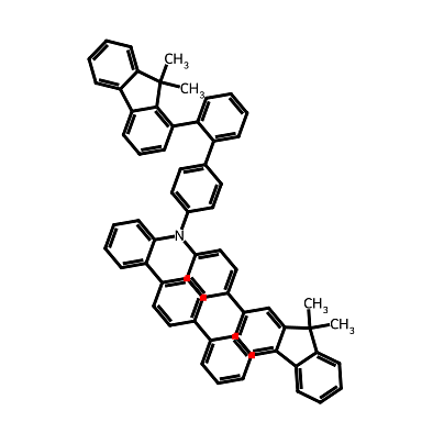 CC1(C)c2ccccc2-c2ccc(-c3ccc(N(c4ccc(-c5ccccc5-c5cccc6c5C(C)(C)c5ccccc5-6)cc4)c4ccccc4-c4ccc(-c5ccccc5)cc4)cc3)cc21